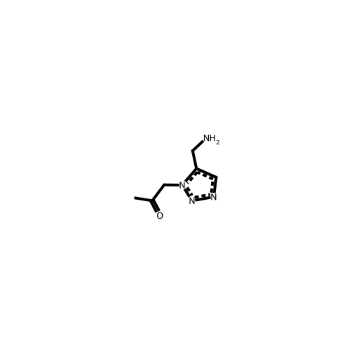 CC(=O)Cn1nncc1CN